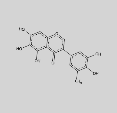 Cc1cc(-c2coc3cc(O)c(O)c(O)c3c2=O)cc(O)c1O